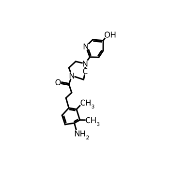 Cc1c(N)ccc(CCC(=O)N2CCN(c3ccc(O)cn3)CC2)c1C